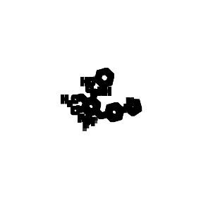 C=Cc1c(C(=O)N[C@H]2CCCC[C@@H]2O)cc(Cc2ccc(-n3cccn3)cc2)c(C(F)(F)F)c1Cl